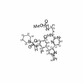 COC(=O)N[C@@H](C)CNc1nccc(-c2nn(C(C)C)cc2-c2cc(Cl)cc(NS(=O)(=O)N3CCCCC3)c2F)n1